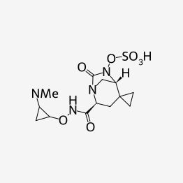 CNC1CC1ONC(=O)[C@@H]1CC2(CC2)[C@@H]2CN1C(=O)N2OS(=O)(=O)O